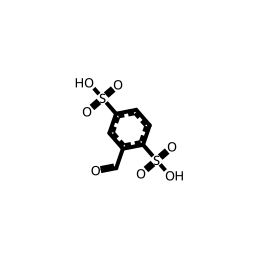 O=Cc1cc(S(=O)(=O)O)ccc1S(=O)(=O)O